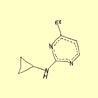 CCc1ccnc(NC2CC2)n1